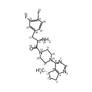 C[C@H]1SCc2ncnc(N3CCN(C(=O)[C@H](N)Cc4ccc(F)c(F)c4)CC3)c21